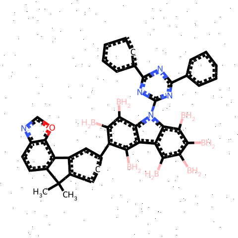 Bc1c(B)c(B)c2c(c1B)c1c(B)c(-c3ccc4c(c3)-c3c(ccc5ncoc35)C4(C)C)c(B)c(B)c1n2-c1nc(-c2ccccc2)nc(-c2ccccc2)n1